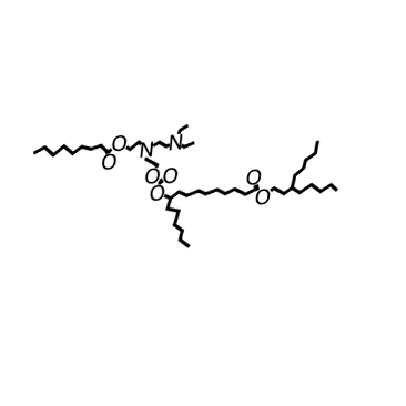 CCCCCCCCC(=O)OCCN(CCOC(=O)OC(CCCCCC)CCCCCCCCC(=O)OCCC(CCCCC)CCCCC)CCN(CC)CC